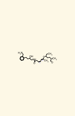 CCC(CCN(C)C=O)O/C(C)=C/C=C\CC(=O)NCC(O)CCc1ccccc1CN